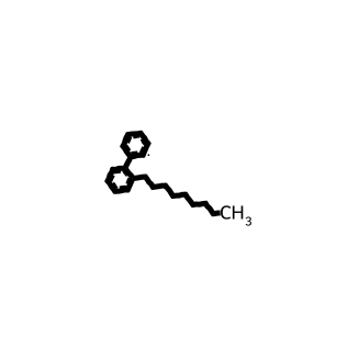 CCCCCCCCCc1ccccc1-c1[c]cccc1